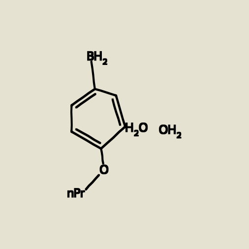 Bc1ccc(OCCC)cc1.O.O